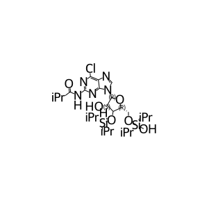 CC(C)C(=O)Nc1nc(Cl)c2ncn([C@@H]3O[C@H](CO[Si](O)(C(C)C)C(C)C)C(O[SiH](C(C)C)C(C)C)[C@@H]3O)c2n1